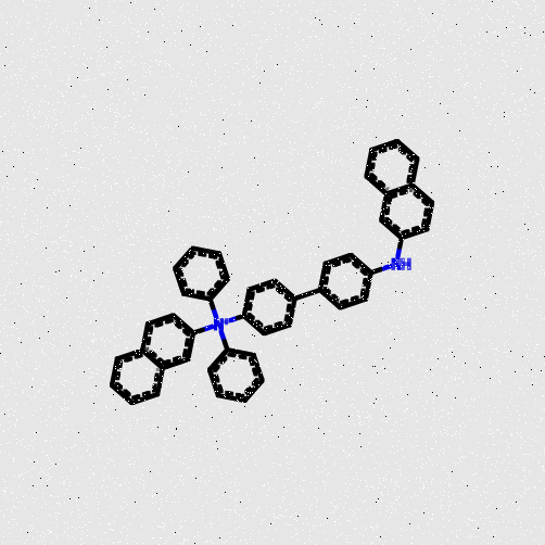 c1ccc([N+](c2ccccc2)(c2ccc(-c3ccc(Nc4ccc5ccccc5c4)cc3)cc2)c2ccc3ccccc3c2)cc1